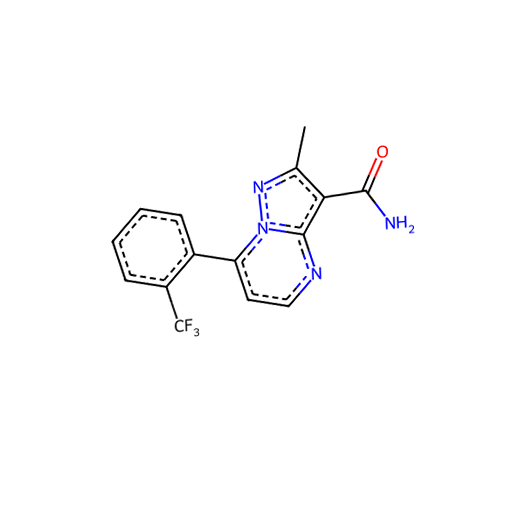 Cc1nn2c(-c3ccccc3C(F)(F)F)ccnc2c1C(N)=O